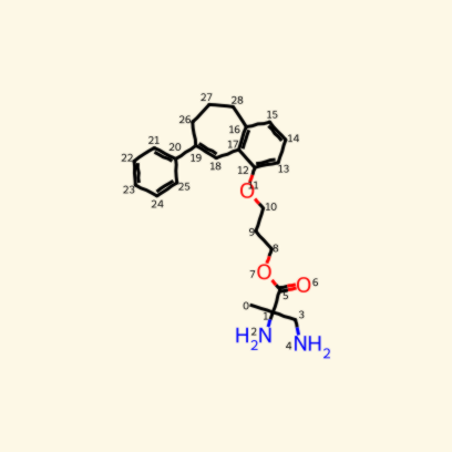 CC(N)(CN)C(=O)OCCCOc1cccc2c1C=C(c1ccccc1)CCC2